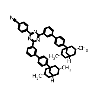 C[C@@H]1C[C@@H]2C[C@H](C)CC(c3ccc(-c4cccc(-c5nc(-c6ccc(C#N)cc6)nc(-c6cccc(-c7ccc(C89C[C@H](C)C[C@H](C[C@H](C)C8)C9)cc7)c6)n5)c4)cc3)(C1)C2